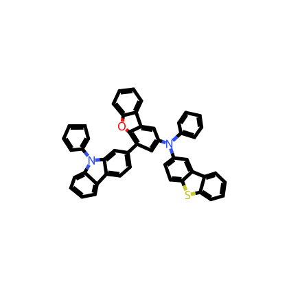 c1ccc(N(c2ccc3sc4ccccc4c3c2)c2cc(-c3ccc4c5ccccc5n(-c5ccccc5)c4c3)c3oc4ccccc4c3c2)cc1